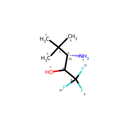 CC(C)(C)[C@H](N)C(O)C(F)(F)F